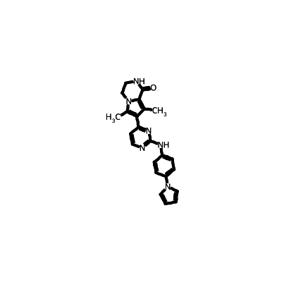 Cc1c(-c2ccnc(Nc3ccc(-n4cccc4)cc3)n2)c(C)n2c1C(=O)NCC2